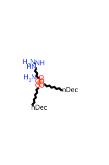 CCCCCCCCCCCCCCCCCCOP(=O)(OCCCCCCCCCCCCCCCCCC)OC(=O)[C@@H](N)CCCNC(=N)N